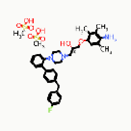 CS(=O)(=O)O.CS(=O)(=O)O.Cc1cc(OC[C@@H](O)CN2CCN(c3ccccc3-c3ccc(Cc4ccc(F)cc4)cc3)CC2)c(C)c(C)c1N